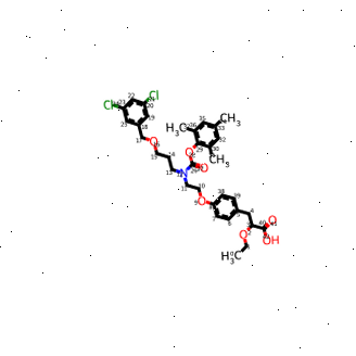 CCOC(Cc1ccc(OCCN(CCCOCc2cc(Cl)cc(Cl)c2)C(=O)Oc2c(C)cc(C)cc2C)cc1)C(=O)O